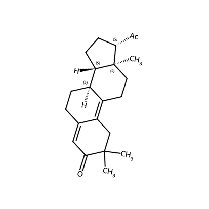 CC(=O)[C@H]1CC[C@H]2[C@@H]3CCC4=CC(=O)C(C)(C)CC4=C3CC[C@]12C